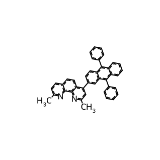 Cc1ccc2ccc3c(-c4ccc5c(-c6ccccc6)c6ccccc6c(-c6ccccc6)c5c4)cc(C)nc3c2n1